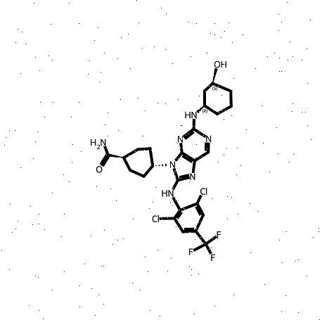 NC(=O)[C@H]1CC[C@H](n2c(Nc3c(Cl)cc(C(F)(F)F)cc3Cl)nc3cnc(N[C@@H]4CCC[C@H](O)C4)nc32)CC1